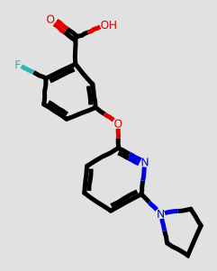 O=C(O)c1cc(Oc2cccc(N3CCCC3)n2)ccc1F